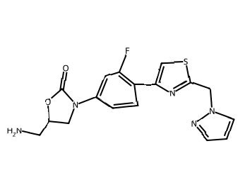 NCC1CN(c2ccc(-c3csc(Cn4cccn4)n3)c(F)c2)C(=O)O1